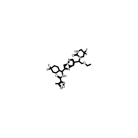 CCOCC(c1cnn2cc(C(NC(=O)c3nonc3C)C3CCC(F)(F)CC3)nc2c1)N1CC(F)(F)CNC1=O